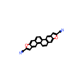 N#Cc1cc2cc3c(ccc4c5cc6cc(C#N)oc6cc5ccc34)cc2o1